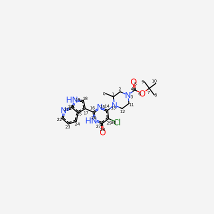 CC1CN(C(=O)OC(C)(C)C)CCN1c1nc(-c2c[nH]c3ncccc23)[nH]c(=O)c1Cl